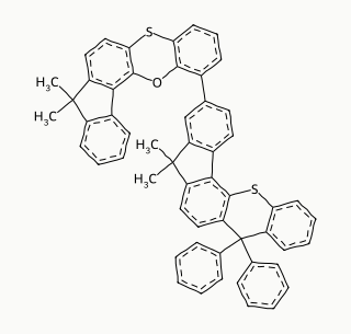 CC1(C)c2ccccc2-c2c1ccc1c2Oc2c(cccc2-c2ccc3c(c2)C(C)(C)c2ccc4c(c2-3)Sc2ccccc2C4(c2ccccc2)c2ccccc2)S1